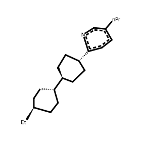 CCCc1ccc([C@H]2CC[C@H]([C@H]3CC[C@H](CC)CC3)CC2)nc1